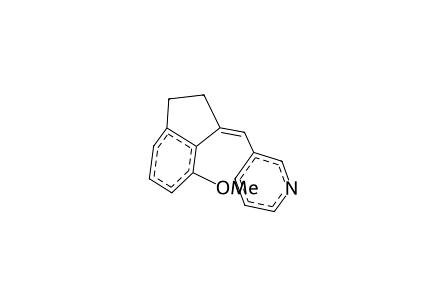 COc1cccc2c1/C(=C\c1cccnc1)CC2